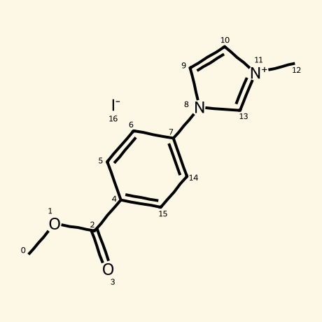 COC(=O)c1ccc(-n2cc[n+](C)c2)cc1.[I-]